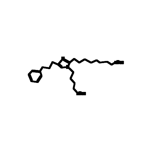 CCCCCCCCCCCCCCCCCCc1nc(CCCc2ccccc2)cn1CCCCCCCCCCCCCC